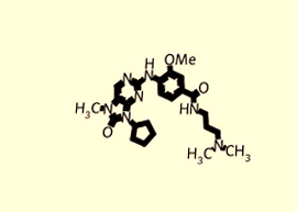 COc1cc(C(=O)NCCCN(C)C)ccc1Nc1ncc2c(n1)n(C1CCCC1)c(=O)n2C